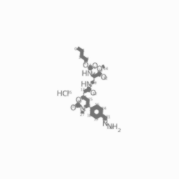 CCCCOC(=O)N[C@@H](CNC(=O)C[C@@H]1C[C@H](c2ccc(C=NN)cc2)N(C)C(=O)O1)C(=O)OC.Cl